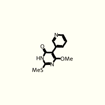 COc1nc(SC)[nH]c(=O)c1-c1cccnc1